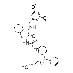 COCCCOC(c1ccccc1)C1CCCN(CC(=O)NC(CC2CCCCC2)C(O)CNCc2cc(OC)cc(OC)c2)C1